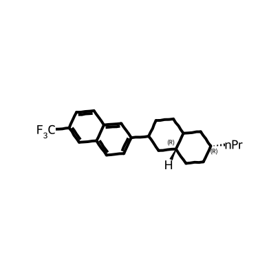 CCC[C@@H]1CC[C@@H]2CC(c3ccc4cc(C(F)(F)F)ccc4c3)CCC2C1